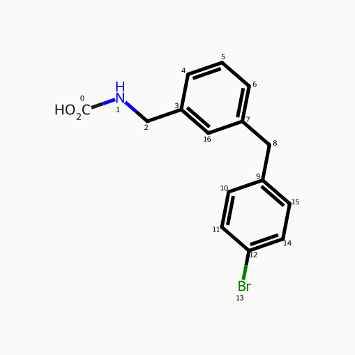 O=C(O)NCc1cccc(Cc2ccc(Br)cc2)c1